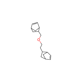 C1=CC2CC1CC2CCOCC1CC2C=CC1C2